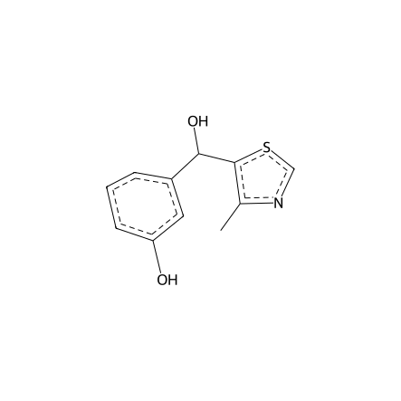 Cc1ncsc1C(O)c1cccc(O)c1